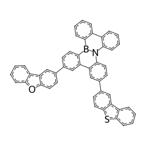 c1ccc2c(c1)B1c3ccc(-c4ccc5oc6ccccc6c5c4)cc3-c3cc(-c4ccc5sc6ccccc6c5c4)ccc3N1c1ccccc1-2